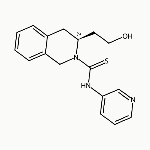 OCC[C@@H]1Cc2ccccc2CN1C(=S)Nc1cccnc1